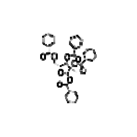 C[C@]1(OC(=O)c2ccccc2)C(OC(=O)c2ccccc2)O[C@H](COC(=O)c2ccccc2)[C@H]1OC(=O)c1ccccc1